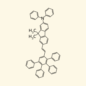 CC1(C)c2cc(/C=C/c3cc(-c4ccccc4)c(-c4ccccc4)c(-c4ccccc4)c3-c3ccccc3)ccc2-c2ccc(N(c3ccccc3)c3ccccc3)cc21